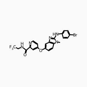 Cn1c(Nc2ccc(Br)cc2)nc2cc(Oc3ccnc(C(=O)NCC(F)(F)F)c3)ccc21